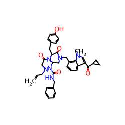 C=CCN1CC(=O)N2C(Cc3ccc(O)cc3)C(=O)N(Cc3cccc4c(C(=O)C5CC5)cn(C)c34)CC2N1C(=O)NCc1ccccc1